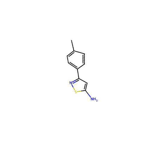 Cc1ccc(-c2cc(N)sn2)cc1